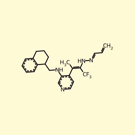 C=C/C=N/N/C(=C(\C)c1ccncc1NCC1CCCc2ccccc21)C(F)(F)F